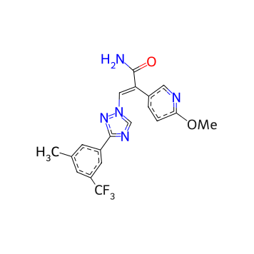 COc1ccc(/C(=C\n2cnc(-c3cc(C)cc(C(F)(F)F)c3)n2)C(N)=O)cn1